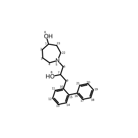 OC1CCCN(CC(O)Cc2ccccc2-c2ccccc2)CC1